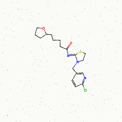 O=C(CCCCC1CCCO1)/N=C1\SCCN1Cc1ccc(Cl)nc1